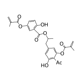 C=C(C)C(=O)Oc1ccc(O)c(C(=O)OC(C)Cc2cc(O)c(C(C)=O)c(OC(=O)C(=C)C)c2)c1